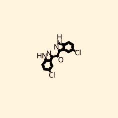 O=C(c1n[nH]c2ccc(Cl)cc12)c1n[nH]c2ccc(Cl)cc12